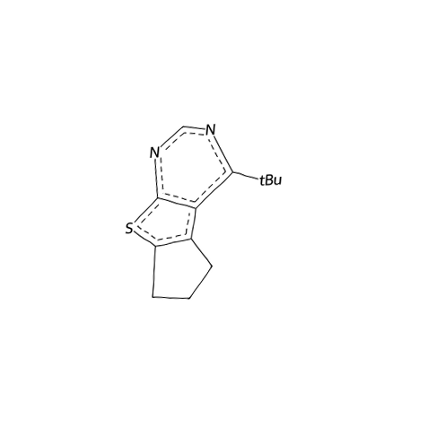 CC(C)(C)c1ncnc2sc3c(c12)CCC3